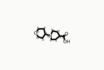 O=C(O)C1CCN(C2CCOCC2)CC1